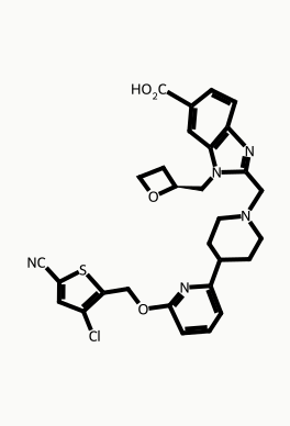 N#Cc1cc(Cl)c(COc2cccc(C3CCN(Cc4nc5ccc(C(=O)O)cc5n4C[C@@H]4CCO4)CC3)n2)s1